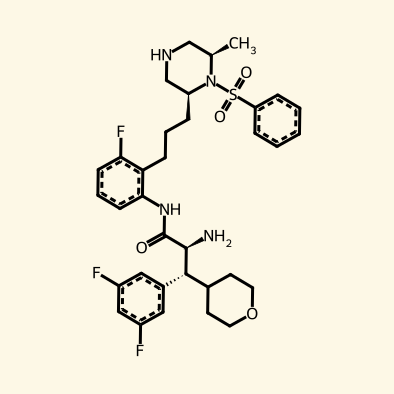 C[C@@H]1CNC[C@H](CCCc2c(F)cccc2NC(=O)[C@@H](N)[C@@H](c2cc(F)cc(F)c2)C2CCOCC2)N1S(=O)(=O)c1ccccc1